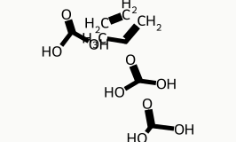 C=C.C=CC.O=C(O)O.O=C(O)O.O=C(O)O